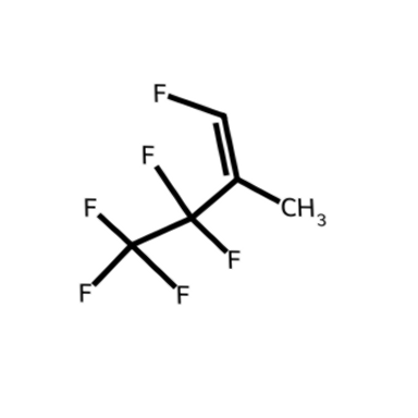 CC(=CF)C(F)(F)C(F)(F)F